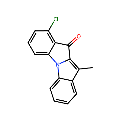 Cc1c2n(c3ccccc13)-c1cccc(Cl)c1C2=O